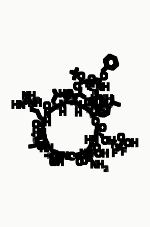 CC[C@H](C)[C@@H]1NC(=O)[C@@H](CCCNC(=N)N)NC(=O)[C@H](CC(C)C)NC(=O)[C@H]([C@H](O)C(C)C)NC(=O)[C@@H](NC(=O)[C@H](CC(C)C)NC(=O)[C@H](CNC(=O)OC(C)(C)C)NC(=O)OCc2ccccc2)[C@@H](c2ccccc2)OC(=O)[C@H](CO)NC(=O)[C@H]([C@H](O)C(N)=O)NC(=O)CNC(=O)[C@H]([C@H](C)O)NC1=O.O=C(O)C(F)(F)F